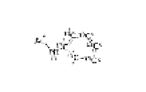 CC(=O)N[13c]1[13cH][13cH][13cH][13cH][13cH]1